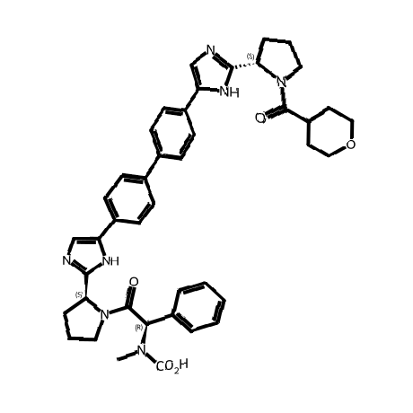 CN(C(=O)O)[C@@H](C(=O)N1CCC[C@H]1c1ncc(-c2ccc(-c3ccc(-c4cnc([C@@H]5CCCN5C(=O)C5CCOCC5)[nH]4)cc3)cc2)[nH]1)c1ccccc1